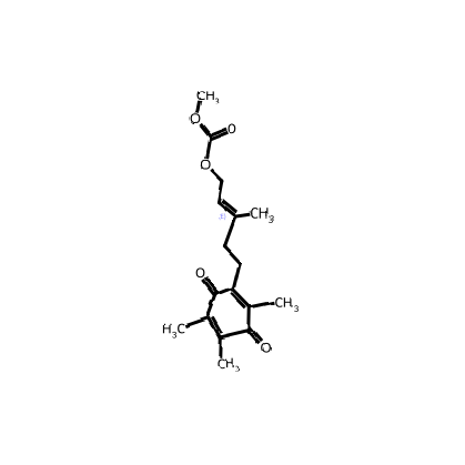 COC(=O)OC/C=C(\C)CCC1=C(C)C(=O)C(C)=C(C)C1=O